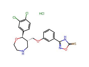 Cl.S=c1[nH]c(-c2cccc(OC[C@@H]3CNCCO[C@H]3c3ccc(Cl)c(Cl)c3)c2)no1